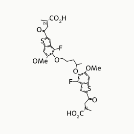 COc1cc2sc(C(=O)C[C@H](C)C(=O)O)cc2c(F)c1OCCCC(C)Oc1c(OC)cc2sc(C(=O)C[C@H](C)C(=O)O)cc2c1F